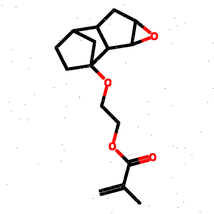 C=C(C)C(=O)OCCOC12CCC(C1)C1CC3OC3C12